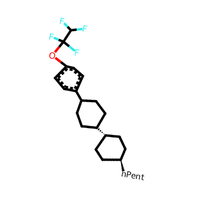 CCCCC[C@H]1CC[C@H](C2CCC(c3ccc(OC(F)(F)C(F)F)cc3)CC2)CC1